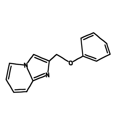 c1ccc(OCc2cn3ccccc3n2)cc1